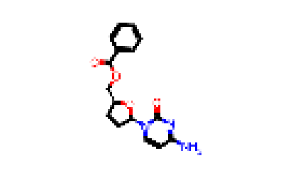 Nc1ccn([C@H]2CC[C@@H](COC(=O)c3ccccc3)O2)c(=O)n1